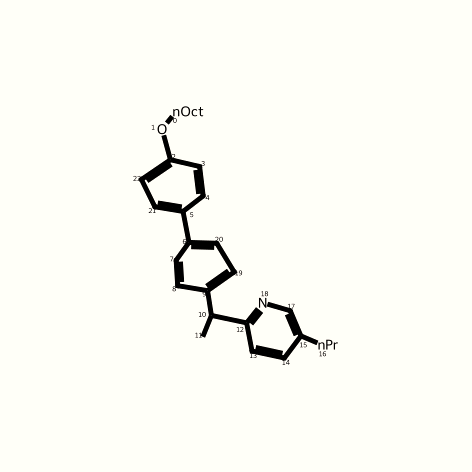 CCCCCCCCOc1ccc(-c2ccc(C(C)c3ccc(CCC)cn3)cc2)cc1